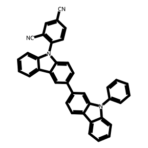 N#Cc1ccc(-n2c3ccccc3c3cc(-c4ccc5c6ccccc6n(-c6ccccc6)c5c4)ccc32)c(C#N)c1